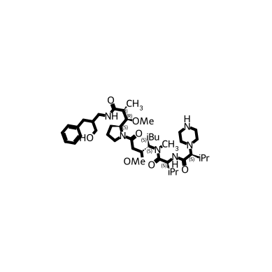 CC[C@H](C)[C@@H](C(CC(=O)N1CCC[C@H]1[C@H](OC)[C@@H](C)C(=O)NCC(CO)Cc1ccccc1)OC)N(C)C(=O)[C@@H](NC(=O)[C@H](C(C)C)N1CCNCC1)C(C)C